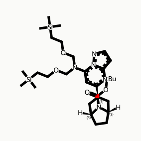 CC(C)(C)OC(=O)N1[C@@H]2CC[C@H]1C[C@H](c1cc(N(COCC[Si](C)(C)C)COCC[Si](C)(C)C)n3nccc3n1)C2